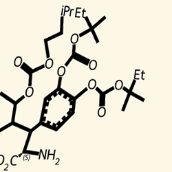 CCC(C)(C)OC(=O)Oc1ccc(C(C(C)C(C)OC(=O)OCCC(C)C)[C@H](N)C(=O)O)cc1OC(=O)OC(C)(C)CC